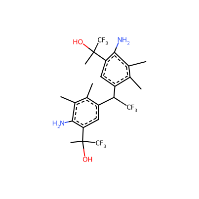 Cc1c(C(c2cc(C(C)(O)C(F)(F)F)c(N)c(C)c2C)C(F)(F)F)cc(C(C)(O)C(F)(F)F)c(N)c1C